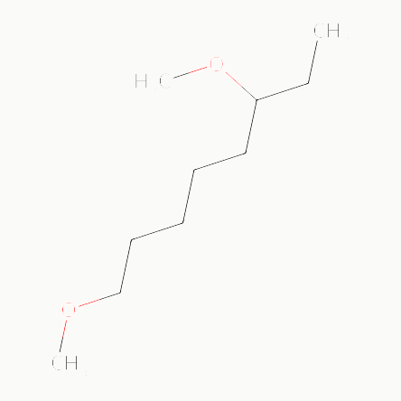 CCC(CCCCCOC)OC